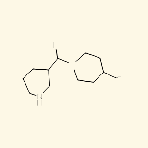 [CH2]CC1CCN(C(CC)C2CCCNC2)CC1